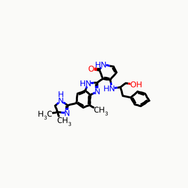 Cc1cc(C2=NC(C)(C)CN2)cc2[nH]c(-c3c(NC(CO)Cc4ccccc4)cc[nH]c3=O)nc12